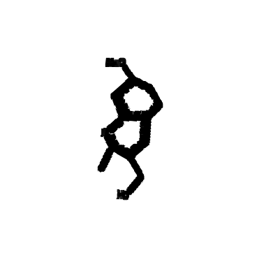 COc1ccc2cc(CO)c(C)nc2c1